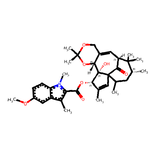 COc1ccc2c(c1)c(C)c(C(=O)O[C@H]1C(C)=CC34C(=O)[C@@H](C=C5COC(C)(C)O[C@H]5[C@]13O)C(C)(C)[C@H](C)CC4C)n2C